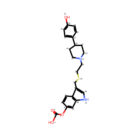 O=C(O)Oc1ccc2c(CSCCN3CCC(c4ccc(O)cc4)CC3)c[nH]c2c1